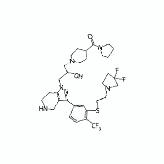 O=C(C1CCN(CC(O)Cn2nc(-c3ccc(C(F)(F)F)c(SCCN4CCC(F)(F)C4)c3)c3c2CCNC3)CC1)N1CCCC1